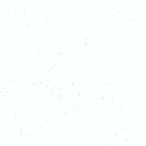 CC(C)N(CC[C@H](c1ccccc1)c1cc(Br)ccc1OCc1ccccc1)C(C)C.Cc1ccc(C(=O)C(O)(C(=O)O)C(O)(C(=O)O)C(=O)c2ccc(C)cc2)cc1